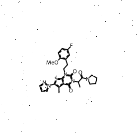 COc1ccc(F)cc1CCn1c(=O)n(C(C)C(=O)N2CCCC2)c(=O)c2c(C)c(-n3cccn3)sc21